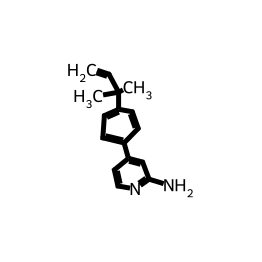 C=CC(C)(C)c1ccc(-c2ccnc(N)c2)cc1